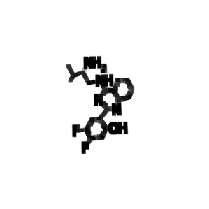 CC(C)[C@H](N)CNc1nc(-c2cc(F)c(F)cc2O)nc2ccccc12